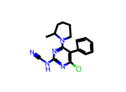 CC1CCCCN1c1nc(NC#N)nc(Cl)c1-c1ccccc1